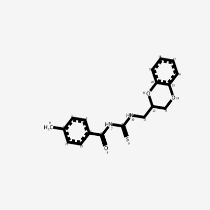 Cc1ccc(C(=O)NC(=S)NCC2COc3ccccc3O2)cc1